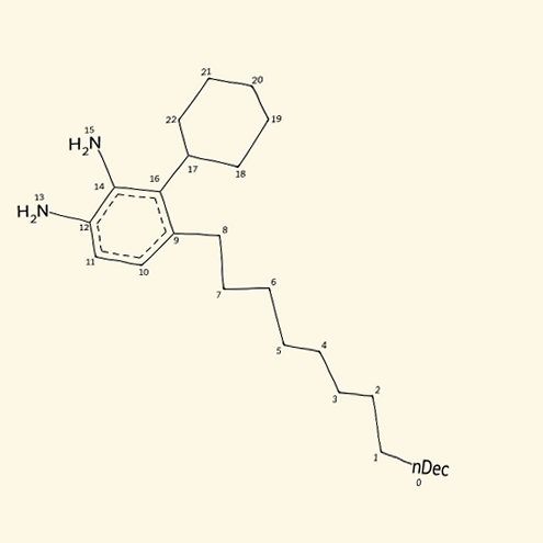 CCCCCCCCCCCCCCCCCCc1ccc(N)c(N)c1C1CCCCC1